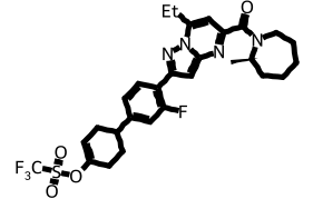 CCc1cc(C(=O)N2CCCCC[C@H]2C)nc2cc(-c3ccc(C4CC=C(OS(=O)(=O)C(F)(F)F)CC4)cc3F)nn12